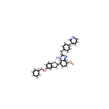 COc1ccc(C2Cc3ccc(OCc4ccccc4)cc3C2)c2[nH]c(Cc3ccc(-c4cccnc4)cc3)nc12